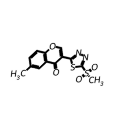 Cc1ccc2occ(-c3nnc(S(C)(=O)=O)s3)c(=O)c2c1